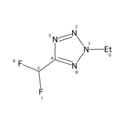 CCn1nnc(C(F)F)n1